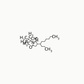 BC(C)(C)C(C)(C)N1C(=O)CC(C(CCC)CCCCCC)C1=O